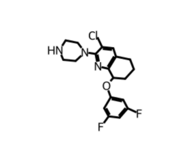 Fc1cc(F)cc(OC2CCCc3cc(Cl)c(N4CCNCC4)nc32)c1